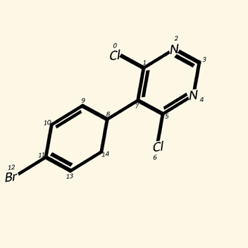 Clc1ncnc(Cl)c1C1C=CC(Br)=CC1